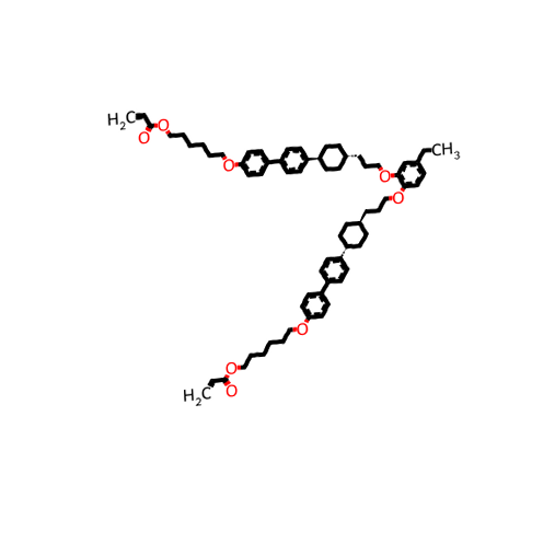 C=CC(=O)OCCCCCCOc1ccc(-c2ccc([C@H]3CC[C@H](CCCOc4ccc(CC)cc4OCCC[C@H]4CC[C@H](c5ccc(-c6ccc(OCCCCCCOC(=O)C=C)cc6)cc5)CC4)CC3)cc2)cc1